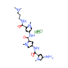 CN(C)CCCNC(=O)c1cc(NC(=O)c2cc(NC(=O)c3cc(N)cn3C)cn2C)cn1C.Cl.Cl